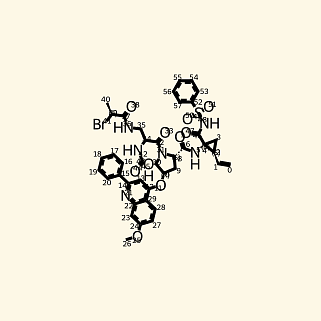 C=C[C@@H]1C[C@]1(NC(=O)[C@@H]1C[C@@H](Oc2cc(-c3ccccc3)nc3cc(OC)ccc23)CN1C(=O)C(CNC(=O)[C@H](C)Br)NC(=O)O)C(=O)NS(=O)(=O)c1ccccc1